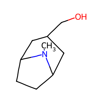 CN1C2CCC1CC(CO)C2